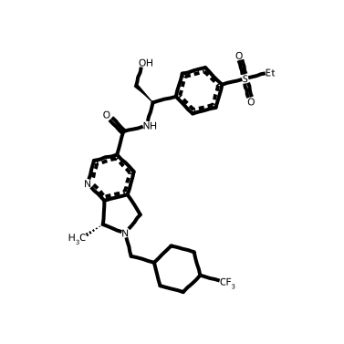 CCS(=O)(=O)c1ccc([C@H](CO)NC(=O)c2cnc3c(c2)CN(CC2CCC(C(F)(F)F)CC2)[C@@H]3C)cc1